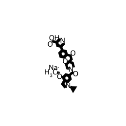 CCOc1cc(C(=O)N2CCC3(CC2)CC(=O)c2cc(-c4cncc(C(=O)O)c4)ccc2O3)cc2c1ccn2C1CC1.[Na]